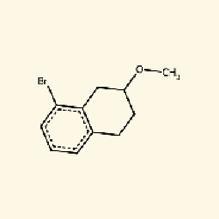 COC1CCc2cccc(Br)c2C1